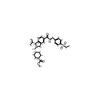 CCS(=O)(=O)c1ccc(CNC(=O)c2cnc3c(c2)CN(C[C@H]2CC[C@H](C(=O)OC)CC2)[C@H]3C(C)C)cc1